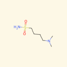 CN(C)CCCCS(N)(=O)=O